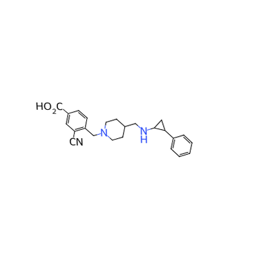 N#Cc1cc(C(=O)O)ccc1CN1CCC(CNC2CC2c2ccccc2)CC1